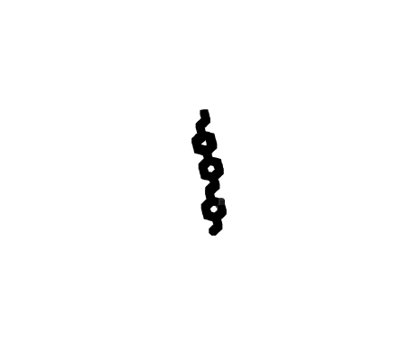 CCCc1ccc(C2CCC(/C=C/C3CCC(CC)CO3)CC2)cc1